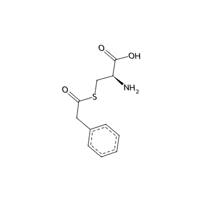 N[C@@H](CSC(=O)Cc1ccccc1)C(=O)O